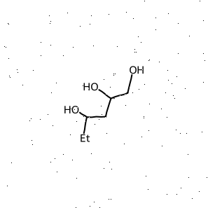 CCC(O)C[C](O)CO